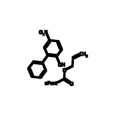 C=CCOC(=O)CCCCC.O=[N+]([O-])c1ccc(O)c(-c2ccccc2)c1